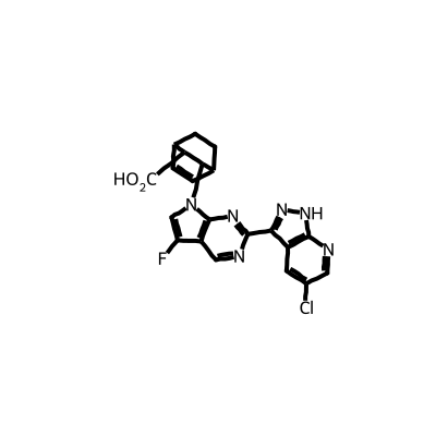 O=C(O)C1C2C=CC(CC2)C1n1cc(F)c2cnc(-c3n[nH]c4ncc(Cl)cc34)nc21